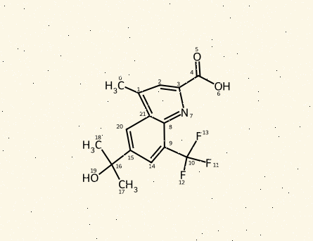 Cc1cc(C(=O)O)nc2c(C(F)(F)F)cc(C(C)(C)O)cc12